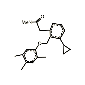 CNC(=O)Cc1cccc(C2CC2)c1COc1cc(C)c(C)cc1C